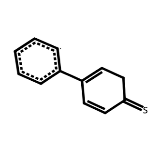 S=C1C=CC(c2[c]cccc2)=CC1